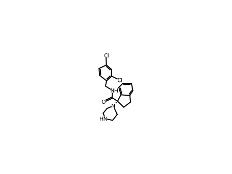 O=C(NCc1ccc(Cl)cc1Cl)[C@]1(N2CCNCC2)CCc2ccccc21